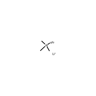 CC[CH2][Al-]([CH3])([CH3])[CH3].[Li+]